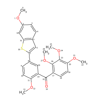 COc1ccc2cc(-c3ccc(OC)c(C(=O)c4ccc(OC)c(OC)c4OC)c3)sc2c1